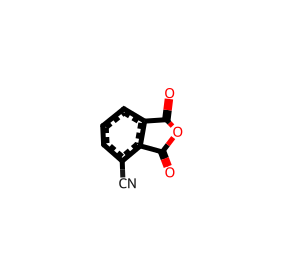 N#Cc1cccc2c1C(=O)OC2=O